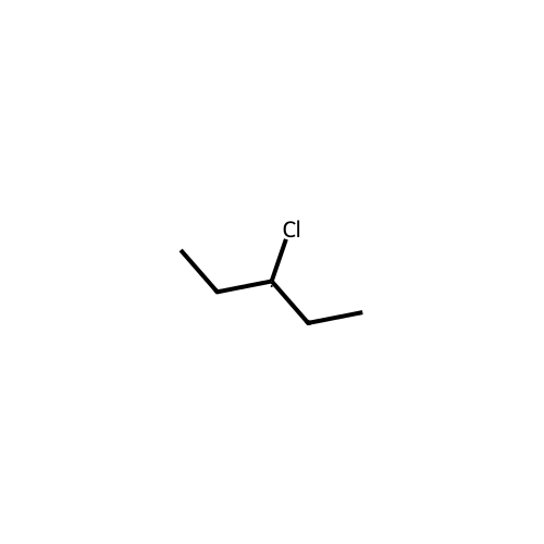 CC[C](Cl)CC